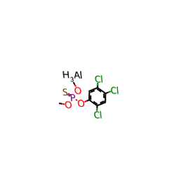 COP(=S)(OC)Oc1cc(Cl)c(Cl)cc1Cl.[AlH3]